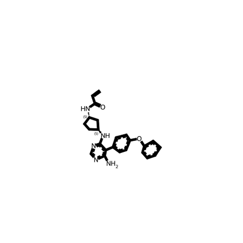 C=CC(=O)N[C@H]1CC[C@H](Nc2ncnc(N)c2-c2ccc(Oc3ccccc3)cc2)C1